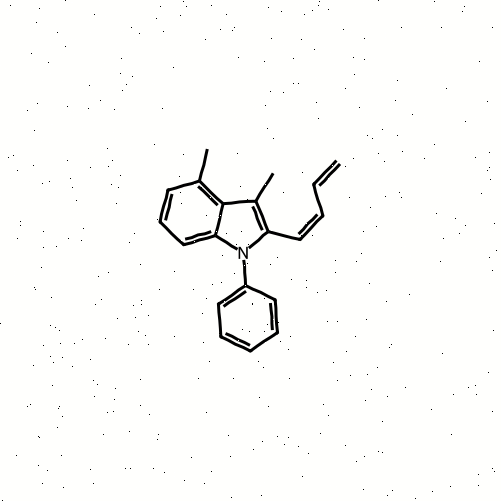 C=C/C=C\c1c(C)c2c(C)cccc2n1-c1ccccc1